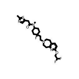 Cc1ncc(CC(=O)N(C)C2CCC(F)(CCN3CCc4ccc(OCC(F)F)nc4CC3)CC2)s1